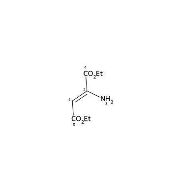 CCOC(=O)/C=C(\N)C(=O)OCC